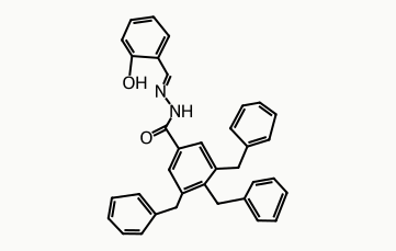 O=C(NN=Cc1ccccc1O)c1cc(Cc2ccccc2)c(Cc2ccccc2)c(Cc2ccccc2)c1